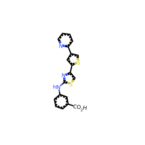 O=C(O)c1cccc(Nc2nc(-c3cc(-c4ccccn4)cs3)cs2)c1